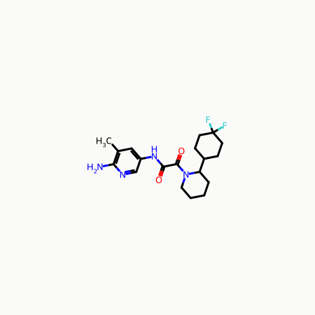 Cc1cc(NC(=O)C(=O)N2CCCCC2C2CCC(F)(F)CC2)cnc1N